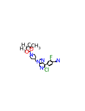 CC(C)(C)OC(=O)N1CCC(Cn2cnc3c(-c4ccc(C#N)c(F)c4)c(Cl)ncc32)CC1